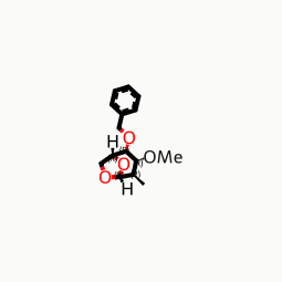 CO[C@@H]1[C@@H](C)[C@@H]2OC[C@@H](O2)[C@H]1OCc1ccccc1